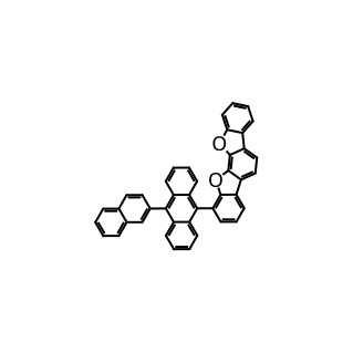 c1ccc2cc(-c3c4ccccc4c(-c4cccc5c4oc4c5ccc5c6ccccc6oc54)c4ccccc34)ccc2c1